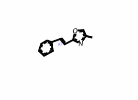 Cc1coc(/C=C/c2ccccc2)n1